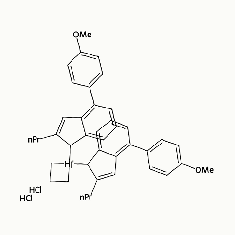 CCCC1=Cc2c(-c3ccc(OC)cc3)cccc2[CH]1[Hf]1([CH]2C(CCC)=Cc3c(-c4ccc(OC)cc4)cccc32)[CH2]C[CH2]1.Cl.Cl